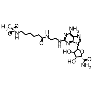 CS(=O)(=O)NCCCCCC(=O)NCCNc1nc(N)c2ncn(C3O[C@H](C(N)=O)[C@@H](O)[C@H]3O)c2n1